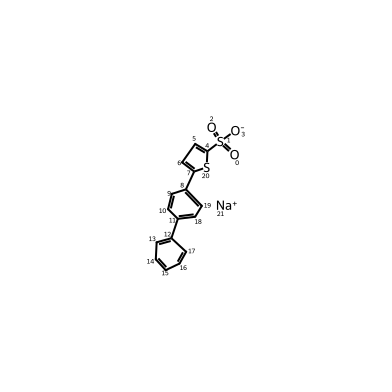 O=S(=O)([O-])c1ccc(-c2ccc(-c3ccccc3)cc2)s1.[Na+]